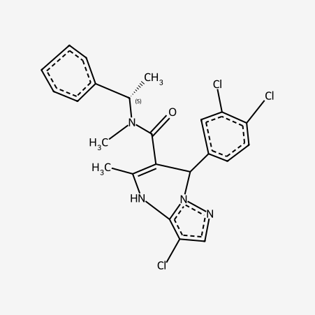 CC1=C(C(=O)N(C)[C@@H](C)c2ccccc2)C(c2ccc(Cl)c(Cl)c2)n2ncc(Cl)c2N1